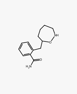 NC(=O)c1ccccc1CC1CCCCNO1